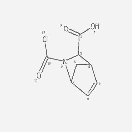 O=C(O)C1C2C=CC(C2)N1C(=O)Cl